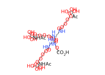 CC(=O)C[C@H]1[C@H](OCCOCCOCCOCC(=O)NCCCC[C@H](NC(=O)COCCOCCOCCO[C@@H]2O[C@H](CO)[C@H](O)[C@H](O)[C@H]2NC(C)=O)C(=O)N[C@@H](CCCCNC(=O)COCCOCCOCCO[C@@H]2O[C@H](CO)[C@H](O)[C@H](O)[C@H]2NC(C)=O)C(=O)NCCOCCC(=O)O)O[C@H](CO)[C@H](O)[C@@H]1O